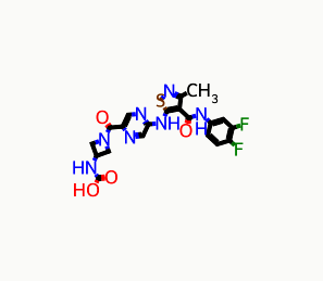 Cc1nsc(Nc2cnc(C(=O)N3CC(NC(=O)O)C3)cn2)c1C(=O)Nc1ccc(F)c(F)c1